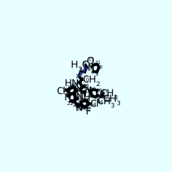 C=C(/C=C\C=C(/C)N1CCCCC1=O)[C@H](Nc1cc(Cl)c2ncc(C#N)c(Nc3ccc(F)c(Cl)c3)c2c1)c1cn(C2CCN(C(C)(C)C)CC2)nn1